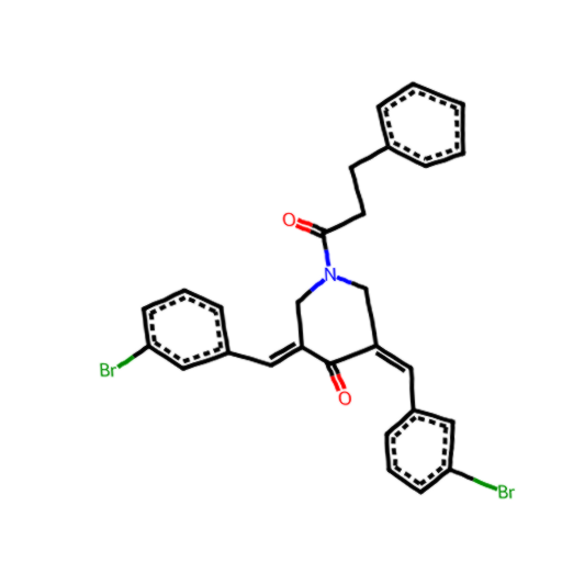 O=C1C(=Cc2cccc(Br)c2)CN(C(=O)CCc2ccccc2)CC1=Cc1cccc(Br)c1